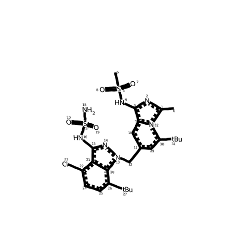 Cc1nc(NS(C)(=O)=O)c2cc(Cn3nc(NS(N)(=O)=O)c4c(Cl)ccc(C(C)(C)C)c43)cc(C(C)(C)C)n12